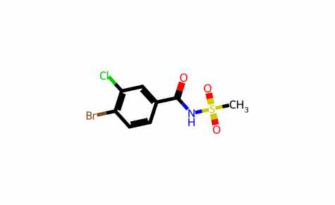 CS(=O)(=O)NC(=O)c1ccc(Br)c(Cl)c1